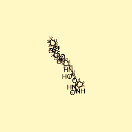 O=c1[nH]c2cccc(OC[C@H](O)CNCC3CCN(S(=O)(=O)c4ccc(S(=O)(=O)c5ccccc5)s4)CC3)c2[nH]1